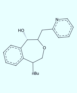 CCCCC1COC(Cc2ccccn2)[C@@H](O)c2ccccc21